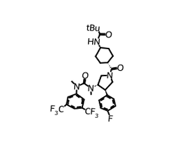 CN(C(=O)N(C)[C@@H]1CN(C(=O)[C@H]2CC[C@H](NC(=O)C(C)(C)C)CC2)C[C@H]1c1ccc(F)cc1)c1cc(C(F)(F)F)cc(C(F)(F)F)c1